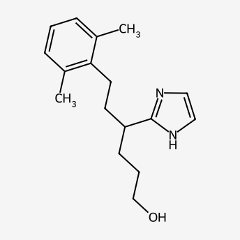 Cc1cccc(C)c1CCC(CCCO)c1ncc[nH]1